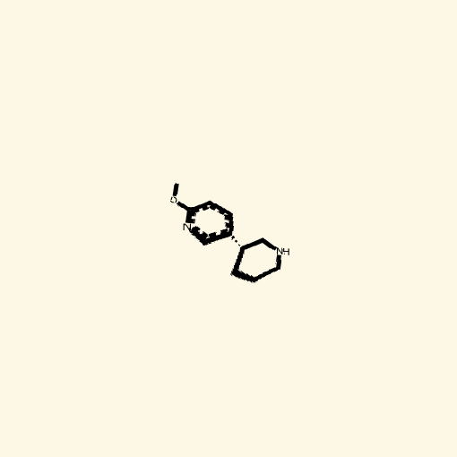 COc1ccc([C@H]2CCCNC2)cn1